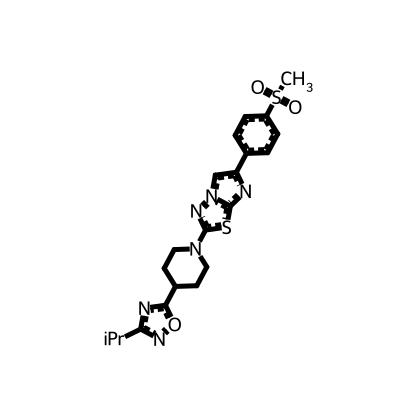 CC(C)c1noc(C2CCN(c3nn4cc(-c5ccc(S(C)(=O)=O)cc5)nc4s3)CC2)n1